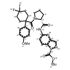 COc1ccc(C2(C(=O)N3CCC[C@@H]3C(=O)Nc3ccc4c(cnn4C(=O)OC(C)(C)C)n3)CCC(F)(F)CC2)cc1